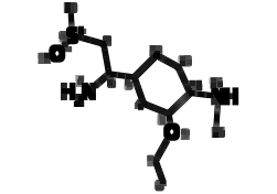 CCOC1CC(C(N)C[S+](C)[O-])CCC1NC